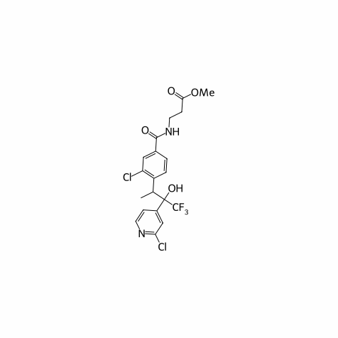 COC(=O)CCNC(=O)c1ccc(C(C)C(O)(c2ccnc(Cl)c2)C(F)(F)F)c(Cl)c1